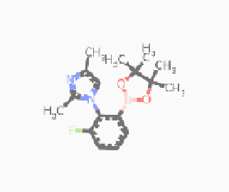 Cc1cn(-c2c(F)cccc2B2OC(C)(C)C(C)(C)O2)c(C)n1